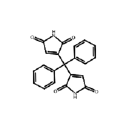 O=C1C=C(C(C2=CC(=O)NC2=O)(c2ccccc2)c2ccccc2)C(=O)N1